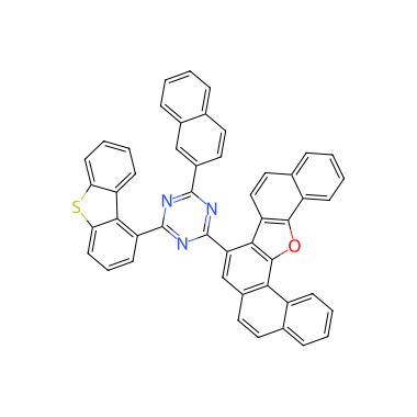 c1ccc2cc(-c3nc(-c4cccc5sc6ccccc6c45)nc(-c4cc5ccc6ccccc6c5c5oc6c7ccccc7ccc6c45)n3)ccc2c1